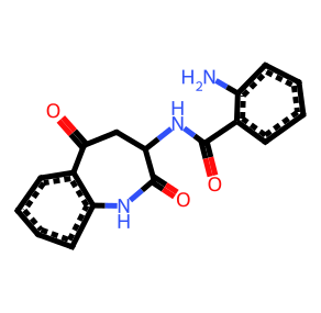 Nc1ccccc1C(=O)NC1CC(=O)c2ccccc2NC1=O